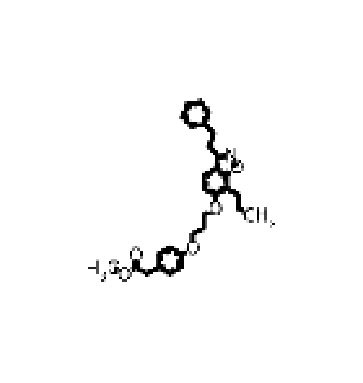 CCCc1c(OCCCOc2ccc(CC(=O)OC)cc2)ccc2c(CCc3ccccc3)noc12